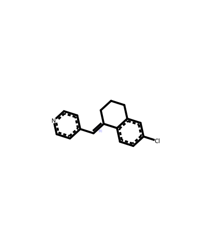 Clc1ccc2c(c1)CCC/C2=C\c1ccncc1